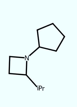 CC(C)C1CCN1C1CCCC1